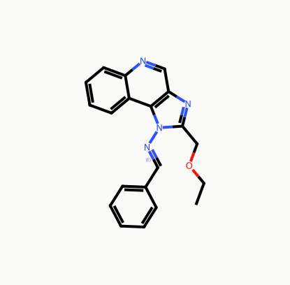 CCOCc1nc2cnc3ccccc3c2n1/N=C/c1ccccc1